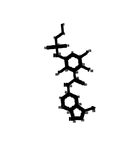 CCCS(=O)(=O)Nc1cc(F)c(F)c(C(=O)Nc2cnc3[nH]cc(Br)c3c2)c1F